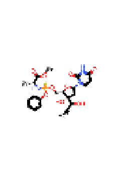 C#CC(O)[C@]1(O)C[C@H](n2ccc(=O)[nH]c2=O)O[C@@H]1COP(=S)(N[C@H](C(=O)OC(C)C)C(C)C)Oc1ccccc1